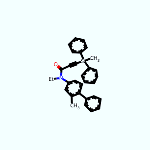 CCN(C(=O)C#C[Si](C)(c1ccccc1)c1ccccc1)c1ccc(-c2ccccc2)c(C)c1